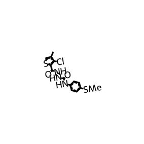 CSc1ccc(NC(=O)NNC(=O)c2scc(C)c2Cl)cc1